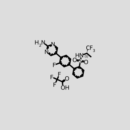 C[C@H](NS(=O)(=O)c1ccccc1-c1ccc(-c2cnc(N)nc2)c(F)c1)C(F)(F)F.O=C(O)C(F)(F)F